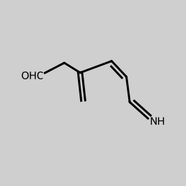 C=C(/C=C\C=N)CC=O